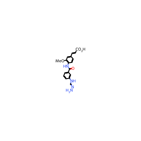 COc1cc(C=CC(=O)O)ccc1NC(=O)c1cccc(NC=NN)c1